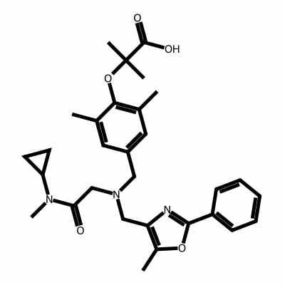 Cc1cc(CN(CC(=O)N(C)C2CC2)Cc2nc(-c3ccccc3)oc2C)cc(C)c1OC(C)(C)C(=O)O